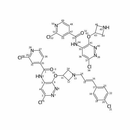 O=C(Nc1cc(Cl)nnc1OC1CN(CC=Cc2ccc(Cl)cc2)C1)c1ccnc(Cl)c1.O=C(Nc1cc(Cl)nnc1OC1CNC1)c1ccnc(Cl)c1